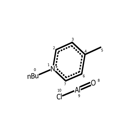 CCCC[n+]1ccc(C)cc1.[O]=[Al][Cl]